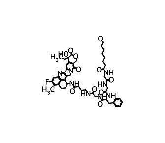 CC[C@@]1(O)C(=O)OCc2c1cc1n(c2=O)Cc2c-1nc1cc(F)c(C)c3c1c2[C@@H](NC(=O)CCCNC(=O)CNC(=O)C(Cc1ccccc1)NC(=O)CNC(=O)CNC(=O)CCCCCCC=O)CC3